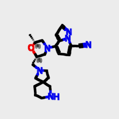 C[C@@H]1CN(c2ccc(C#N)n3nccc23)C[C@H](CN2CCC3(CCCNC3)C2)O1